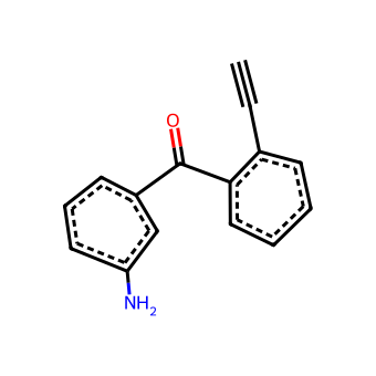 C#Cc1ccccc1C(=O)c1cccc(N)c1